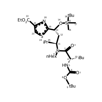 CCCCCCN(C(=O)[C@@H](NC(=O)OC(C)(C)C)[C@@H](C)CC)[C@H](C[C@@H](O[Si](C)(C)C(C)(C)C)c1nc(C(=O)OCC)cs1)C(C)C